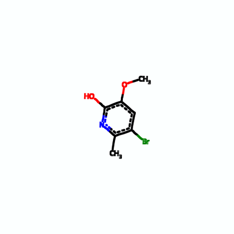 COc1cc(Br)c(C)nc1O